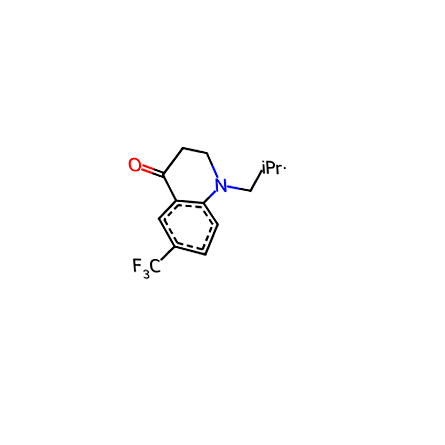 C[C](C)CN1CCC(=O)c2cc(C(F)(F)F)ccc21